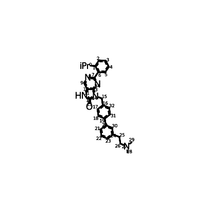 CC(C)c1ccccc1-c1ncc2[nH]c(=O)n(Cc3ccc(-c4cccc(CCN(C)C)c4)cc3)c2n1